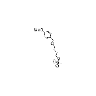 COc1ccc(COCCCCOS(C)(=O)=O)cc1